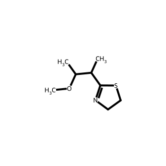 COC(C)C(C)C1=NCCS1